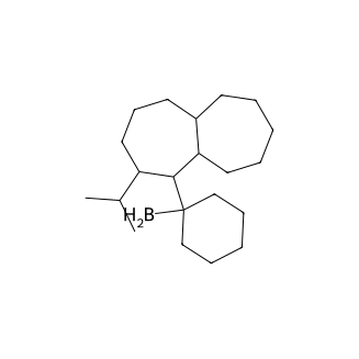 BC1(C2C(C(C)C)CCCC3CCCCCC32)CCCCC1